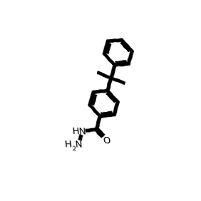 CC(C)(c1ccccc1)c1ccc(C(=O)NN)cc1